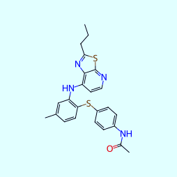 CCCc1nc2c(Nc3cc(C)ccc3Sc3ccc(NC(C)=O)cc3)ccnc2s1